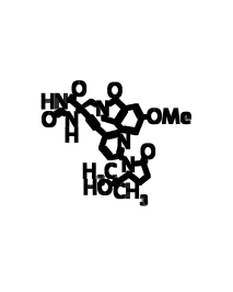 COc1ccc2c(c1)C(=O)N(C[C@@]1(C#Cc3ccc(N4C(=O)CCC4C(C)(C)O)nc3)NC(=O)NC1=O)C2